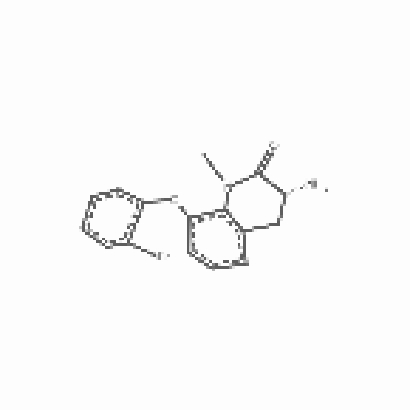 CC(C)c1ccccc1Oc1cccc2c1N(C)C(=O)[C@H](N)C2